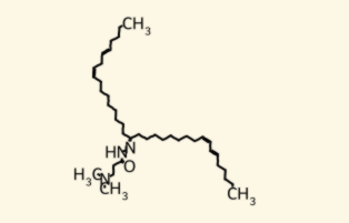 CCCC/C=C/C/C=C\CCCCCCCC/C(CCCCCCCC/C=C\C=C\CCCCC)=N\NC(=O)CCN(C)C